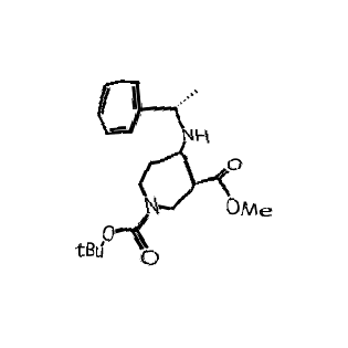 COC(=O)[C@H]1CN(C(=O)OC(C)(C)C)CCC1N[C@@H](C)c1ccccc1